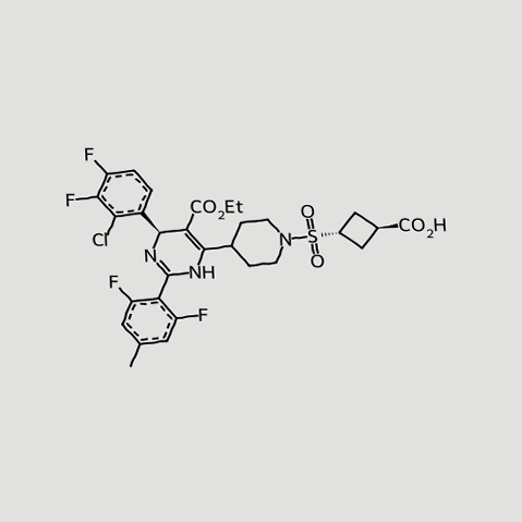 CCOC(=O)C1=C(C2CCN(S(=O)(=O)[C@H]3C[C@H](C(=O)O)C3)CC2)NC(c2c(F)cc(C)cc2F)=N[C@H]1c1ccc(F)c(F)c1Cl